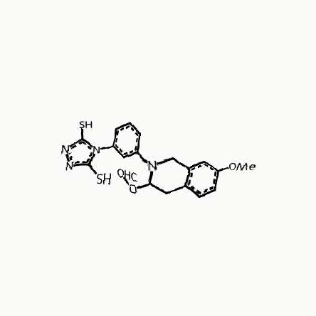 COc1ccc2c(c1)CN(c1cccc(-n3c(S)nnc3S)c1)C(OC=O)C2